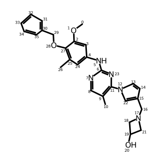 COc1cc(Nc2ncc(C)c(-n3ccc(CN4CC(O)C4)c3)n2)cc(C)c1OCc1ccccc1